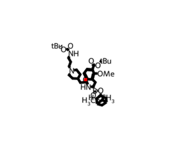 COc1c(CC(NC(=O)CC2CCN(CCCNC(=O)OC(C)(C)C)CC2)B2OC3CC4CC(C4(C)C)C3(C)O2)cccc1C(=O)OC(C)(C)C